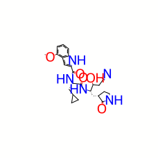 COc1cccc2[nH]c(C(=O)N[C@@H](CC3CC3)C(=O)N[C@@H](C[C@@H]3CCNC3=O)C(O)CC#N)cc12